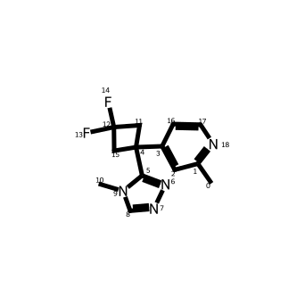 Cc1cc(C2(c3nncn3C)CC(F)(F)C2)ccn1